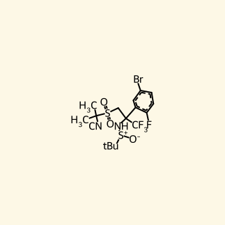 CC(C)(C)[S+]([O-])NC(CS(=O)(=O)C(C)(C)C#N)(c1cc(Br)ccc1F)C(F)(F)F